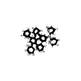 C1=NC(N(c2ccc3c(c2)c2ccccc2c2c(-c4ccccc4)cc(-c4ccccc4)c(-c4ccccc4)c32)c2ccccn2)=CCC1